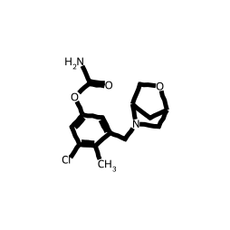 Cc1c(Cl)cc(OC(N)=O)cc1CN1CC2CC1CO2